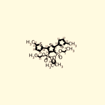 CCOP(=O)(OCC)c1c(-c2ccc(C)s2)sc(-c2ccc(C)s2)c1P(=O)(OCC)OCC